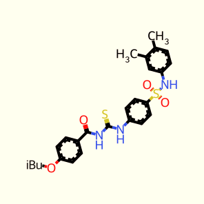 CCC(C)Oc1ccc(C(=O)NC(=S)Nc2ccc(S(=O)(=O)Nc3ccc(C)c(C)c3)cc2)cc1